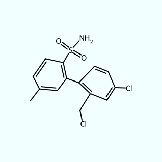 Cc1ccc(S(N)(=O)=O)c(-c2ccc(Cl)cc2CCl)c1